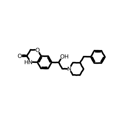 O=C1COc2cc(C(O)CN3CCCC(Cc4ccccc4)C3)ccc2N1